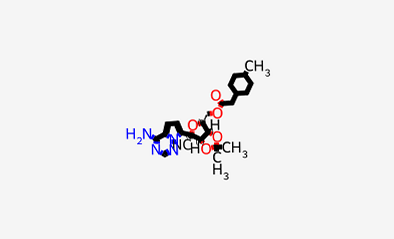 CC1CCC(CC(=O)OC[C@H]2O[C@@](C#N)(c3ccc4c(N)ncnn34)[C@@H]3OC(C)(C)O[C@@H]32)CC1